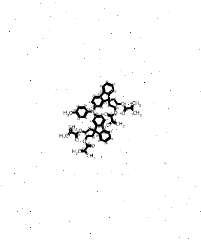 C=C(C)C(=O)OCCC1(CCOC(=O)C(=C)C)c2ccccc2-c2ccc(N(c3ccc(C)cc3)c3ccc4c(c3)C(CCOC(=O)C(=C)C)(CCOC(=O)C(=C)C)c3ccccc3-4)cc21